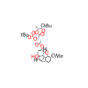 COc1ccc2c3c1O[C@H]1C(OC(=O)C[C@H](OC(=O)OC(C)(C)C)C(=O)O[C@@H](C)C(=O)OCC(C)C)=CC[C@@]4(O)[C@H](CCC[C@]314)C2